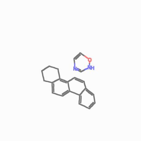 C1=CONC=N1.c1ccc2c(c1)ccc1c3c(ccc12)CCCC3